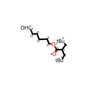 CC(C)(C)CC(CC(C)(C)C)C(=O)OCCCCCC=O